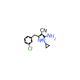 N#Cc1c(Cc2cccc(Cl)c2)nn(C2CC2)c1N